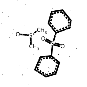 C[S+](C)[O-].O=S(=O)(c1ccccc1)c1ccccc1